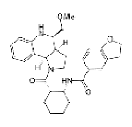 COC[C@@H]1Nc2ccccc2[C@H]2[C@@H]1CCN2C(=O)[C@H]1CCCC[C@H]1NC(=O)c1ccc2c(c1)CCO2